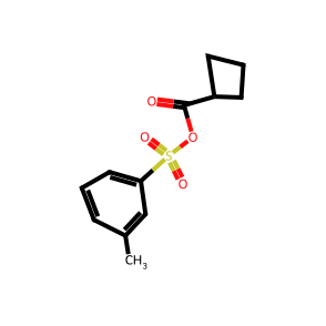 Cc1cccc(S(=O)(=O)OC(=O)C2CCC2)c1